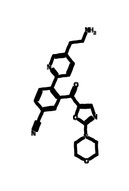 N#Cc1ccc(-c2ccc(CCN)cn2)c(C(=O)c2cnc(N3CCOCC3)o2)c1